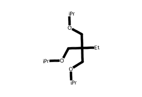 CCC(COC(C)C)(COC(C)C)COC(C)C